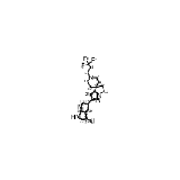 FC(F)(F)CCN1CCC2(CC1)CCn1nc(-c3cnc4[nH]cc(Cl)c4c3)cc12